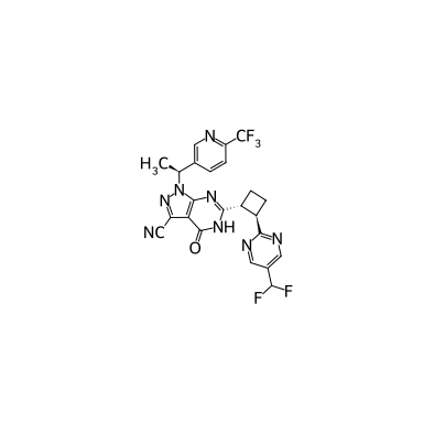 C[C@@H](c1ccc(C(F)(F)F)nc1)n1nc(C#N)c2c(=O)[nH]c([C@@H]3CC[C@H]3c3ncc(C(F)F)cn3)nc21